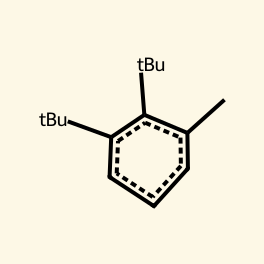 Cc1cccc(C(C)(C)C)c1C(C)(C)C